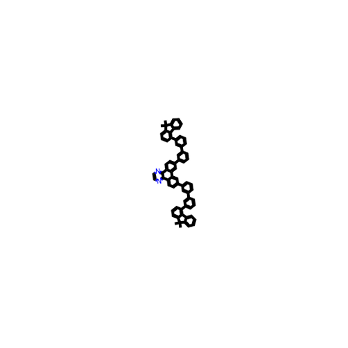 CC1(C)c2ccccc2-c2c(-c3cccc(-c4cccc(-c5ccc6c(c5)c5cc(-c7cccc(-c8cccc(-c9cccc%10c9-c9ccccc9C%10(C)C)c8)c7)ccc5c5nccnc65)c4)c3)cccc21